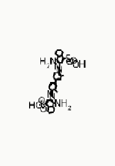 Cc1cc(-c2ccc(N=Nc3cc(S(=O)(=O)O)c4ccccc4c3N)c(C)c2)ccc1N=Nc1cc(SOOO)c2ccccc2c1N